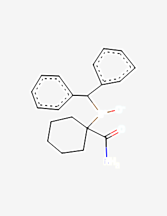 NC(=O)C1([S+]([O-])C(c2ccccc2)c2ccccc2)CCCCC1